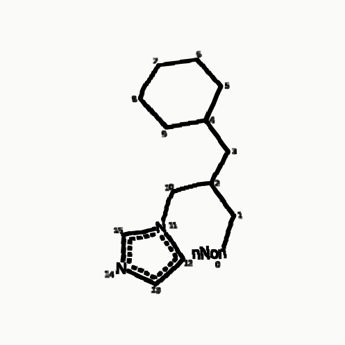 CCCCCCCCCCC(CC1CCCCC1)Cn1ccnc1